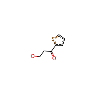 [O]CCC(=O)c1cccs1